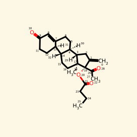 C=C1C[C@H]2[C@@H]3CCC4=CC(=O)CC[C@@H]4[C@H]3CC[C@]2(C)[C@]1(OC(=O)CCC)C(C)=O